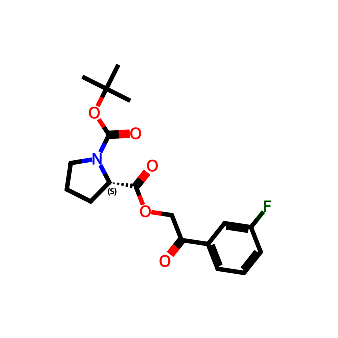 CC(C)(C)OC(=O)N1CCC[C@H]1C(=O)OCC(=O)c1cccc(F)c1